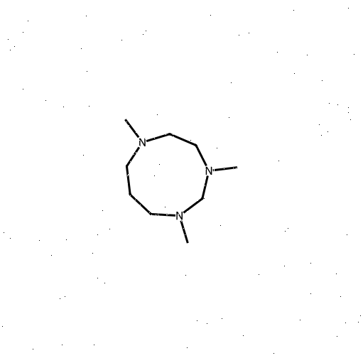 CN1CCCN(C)CN(C)CC1